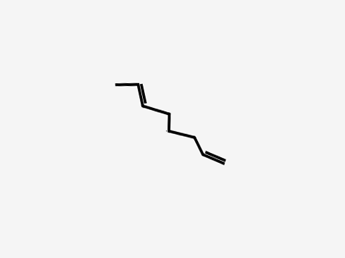 C=CC[CH]CC=CC